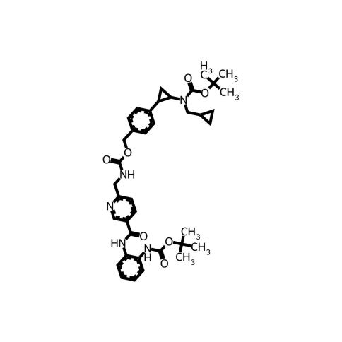 CC(C)(C)OC(=O)Nc1ccccc1NC(=O)c1ccc(CNC(=O)OCc2ccc(C3CC3N(CC3CC3)C(=O)OC(C)(C)C)cc2)nc1